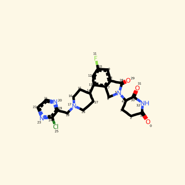 O=C1CCC(N2Cc3c(cc(F)cc3C3CCN(Cc4nccnc4Cl)CC3)C2=O)C(=O)N1